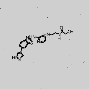 COCC(=O)NCCNc1ccnc(Nc2nc3ccc(-c4cn[nH]c4)cc3s2)c1